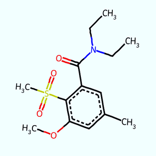 CCN(CC)C(=O)c1cc(C)cc(OC)c1S(C)(=O)=O